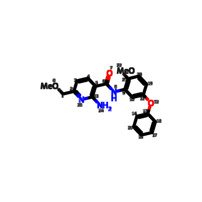 COCc1ccc(C(=O)Nc2cc(Oc3ccccc3)ccc2OC)c(N)n1